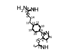 CC(=N)Sc1ccnn1-c1ccc(CCSC(=N)N)cc1